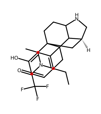 CCc1ccc(O)cc1C12CCN(C(=O)C(F)(F)F)C(C)C13CCC1NC[C@@H](C3)C12